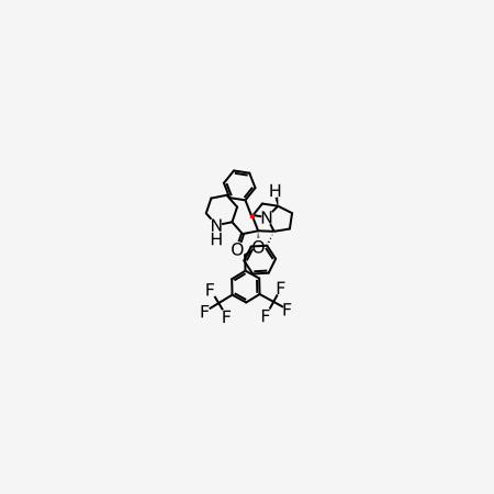 O=C(C1CCCCN1)[C@@]1(OCc2cc(C(F)(F)F)cc(C(F)(F)F)c2)CC[C@@H]2CC[C@]1(c1ccccc1)N2Cc1ccccc1